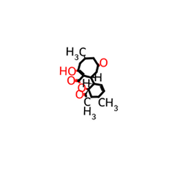 CC(=O)[C@]12C[C@H](C)C=C[C@@H]1[C@H]1CC(=O)C[C@@H](C)C/C(O)=C\1C(=O)O2